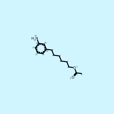 CC(=O)OCCCCCCc1cccc(N)c1